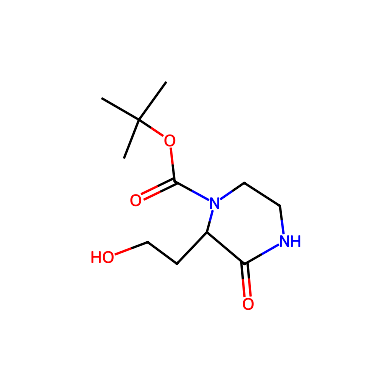 CC(C)(C)OC(=O)N1CCNC(=O)C1CCO